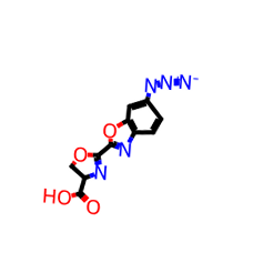 [N-]=[N+]=Nc1ccc2nc(C3=NC(C(=O)O)CO3)oc2c1